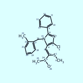 CS/C(=C\c1c(Cl)nc(-c2ccccc2)n1Cc1ccccc1C)[S+](C)[O-]